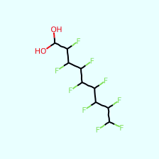 OC(O)C(F)C(F)C(F)C(F)C(F)C(F)C(F)C(F)F